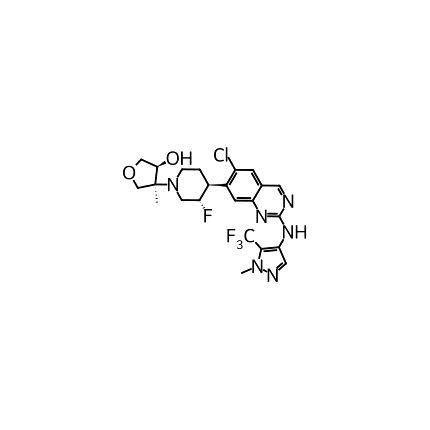 Cn1ncc(Nc2ncc3cc(Cl)c([C@@H]4CCN([C@@]5(C)COC[C@H]5O)C[C@H]4F)cc3n2)c1C(F)(F)F